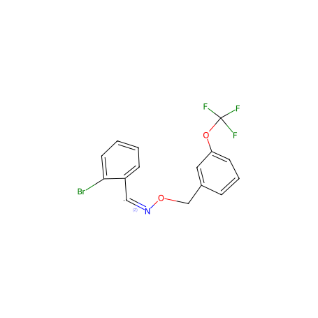 FC(F)(F)Oc1cccc(CO/N=[C]\c2ccccc2Br)c1